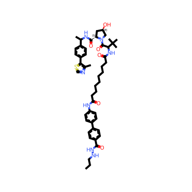 CCCNNC(=O)c1ccc(-c2ccc(NC(=O)CCCCCCCCC(=O)NC(C(=O)N3C[C@H](O)C[C@H]3C(=O)NC(C)c3ccc(-c4scnc4C)cc3)C(C)(C)C)cc2)cc1